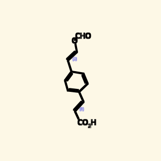 O=CO/C=C/c1ccc(/C=C/C(=O)O)cc1